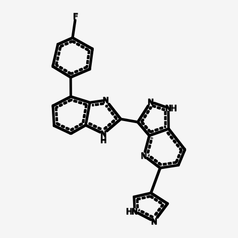 Fc1ccc(-c2cccc3[nH]c(-c4n[nH]c5ccc(-c6cn[nH]c6)nc45)nc23)cc1